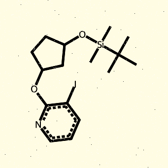 CC(C)(C)[Si](C)(C)OC1CCC(Oc2ncccc2I)C1